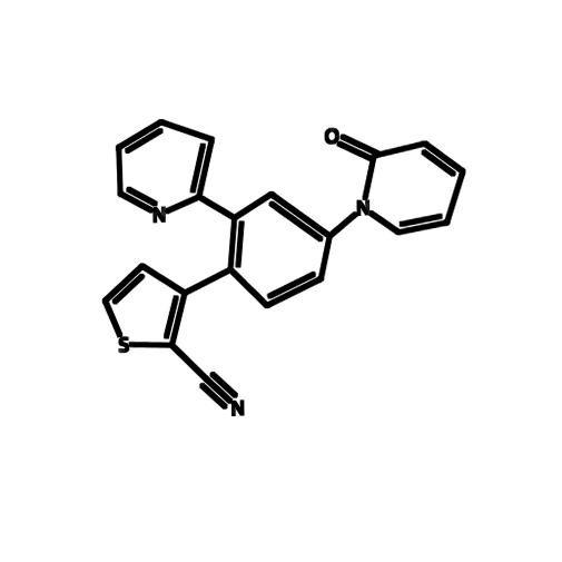 N#Cc1sccc1-c1ccc(-n2ccccc2=O)cc1-c1ccccn1